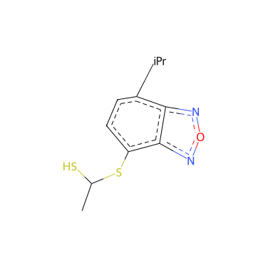 CC(S)Sc1ccc(C(C)C)c2nonc12